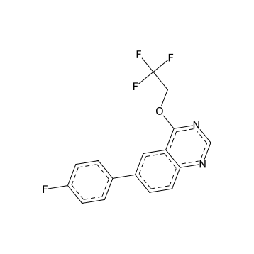 Fc1ccc(-c2ccc3ncnc(OCC(F)(F)F)c3c2)cc1